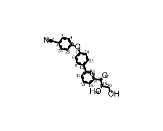 N#Cc1ccc(Oc2ccc(-c3cccc(C(=O)[C@H](O)CO)n3)cc2)cc1